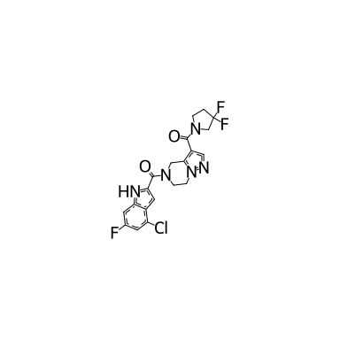 O=C(c1cc2c(Cl)cc(F)cc2[nH]1)N1CCn2ncc(C(=O)N3CCC(F)(F)C3)c2C1